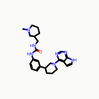 CN1CCCC(CNC(=O)Nc2cccc(C3CCCN(c4ncnc5[nH]ccc45)C3)c2)C1